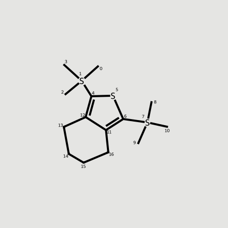 CS(C)(C)c1sc(S(C)(C)C)c2c1CCCC2